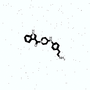 NCCc1ccc(NC2CCN(C(=O)c3c[nH]c4ccccc34)CC2)cc1